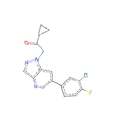 O=C(Cn1ncc2ncc(-c3ccc(F)c(Cl)c3)cc21)C1CC1